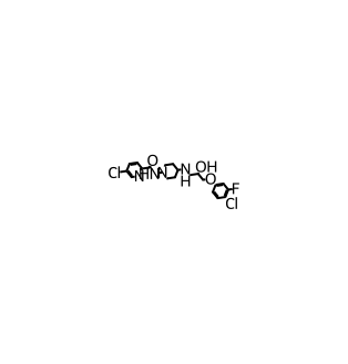 O=C(NN1CCC(NC[C@@H](O)COc2ccc(Cl)c(F)c2)CC1)c1ccc(Cl)cn1